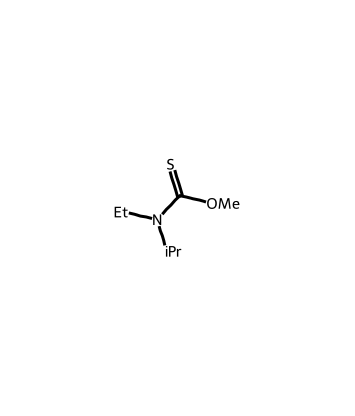 CCN(C(=S)OC)C(C)C